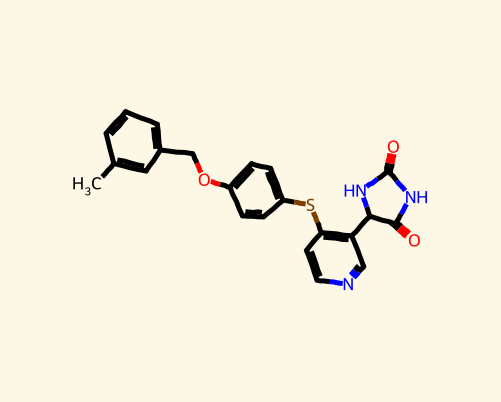 Cc1cccc(COc2ccc(Sc3ccncc3C3NC(=O)NC3=O)cc2)c1